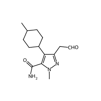 CC1CCC(c2c(CC=O)nn(C)c2C(N)=O)CC1